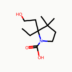 CCC1(CCO)N(C(=O)O)CCC1(C)C